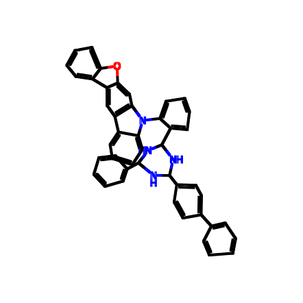 c1ccc(-c2ccc(C3NC(c4ccccc4)NC(c4ccccc4-n4c5ccccc5c5cc6c(cc54)oc4ccccc46)N3)cc2)cc1